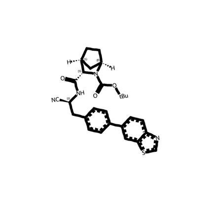 CC(C)(C)OC(=O)N1[C@@H]2CC[C@@H](C2)[C@H]1C(=O)N[C@H](C#N)Cc1ccc(-c2ccc3ncsc3c2)cc1